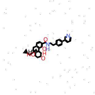 O=C1CC[C@@]2(O)[C@H]3Cc4ccc(C(=O)NCCc5ccc(-c6cccnc6)cc5)c(O)c4[C@@]2(CCC3CC2CC2)C1